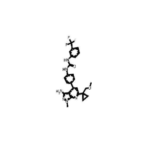 COCC1(c2cc(-c3ccc(NC(=O)Nc4cccc(C(F)(F)F)c4)cc3)c3c(N)nn(C)c3n2)CC1